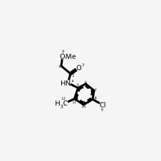 [CH2]OCC(=O)Nc1ccc(Cl)cc1C